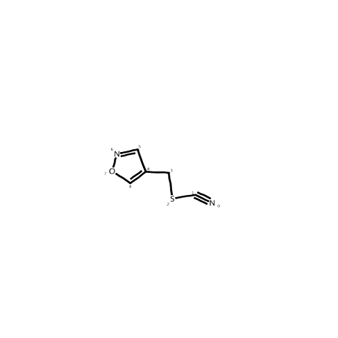 N#CSCc1cnoc1